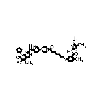 CC(=O)c1c(C)c2cnc(Nc3ccc(N4CCN(C(=O)CCCCCCNc5ccc(C)c(C(=O)Nc6nc(C)c(C)s6)c5)CC4)cn3)nc2n(C2CCCC2)c1=O